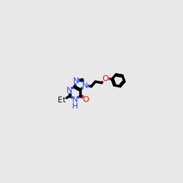 CCc1nc2ncn(CCCOc3ccccc3)c2c(=O)[nH]1